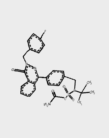 CC(C)(C)N(Cc1ccc(-c2nn(Cc3ccc(F)cc3)c(=O)c3ccccc23)cc1)S(=O)(=O)OC(N)=O